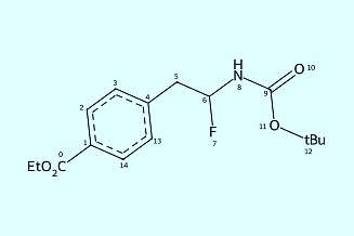 CCOC(=O)c1ccc(CC(F)NC(=O)OC(C)(C)C)cc1